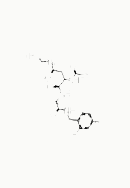 CCC(=O)NC(CC(=O)NCC(C)(C)C)C(=O)N[C@@H](C)C(=O)NCc1ccc(F)cc1F